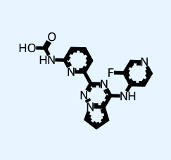 O=C(O)Nc1cccc(-c2nc(Nc3ccncc3F)c3cccn3n2)n1